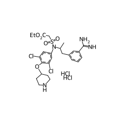 CCOC(=O)CS(=O)(=O)N(c1cc(Cl)c(OC2CCNCC2)c(Cl)c1)C(C)Cc1cccc(C(=N)N)c1.Cl.Cl